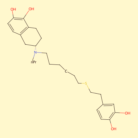 CCCN(CCCCCCSCCc1ccc(O)c(O)c1)[C@H]1CCc2c(ccc(O)c2O)C1